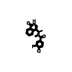 C[C@H](c1c[nH]c(=O)c2ccccc12)N(C)C(=O)c1ccc(Cl)c(F)c1